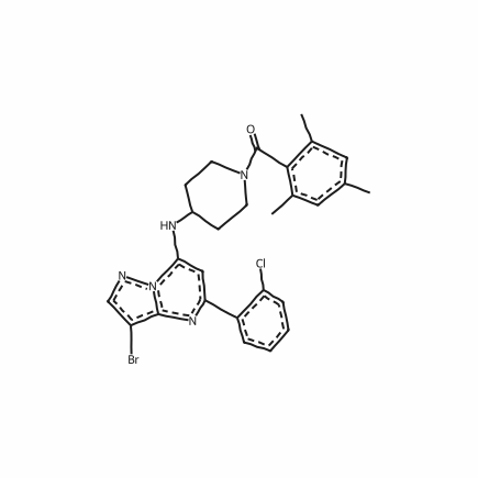 Cc1cc(C)c(C(=O)N2CCC(Nc3cc(-c4ccccc4Cl)nc4c(Br)cnn34)CC2)c(C)c1